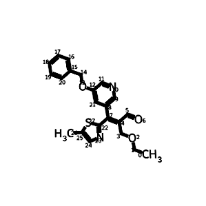 CCOC/C(C=O)=C(/c1cncc(OCc2ccccc2)c1)c1ncc(C)s1